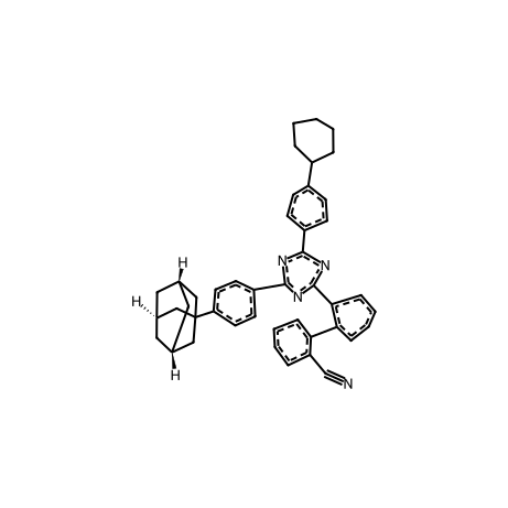 N#Cc1ccccc1-c1ccccc1-c1nc(-c2ccc(C3CCCCC3)cc2)nc(-c2ccc(C34C[C@H]5C[C@@H](C3)C[C@@H](C4)C5)cc2)n1